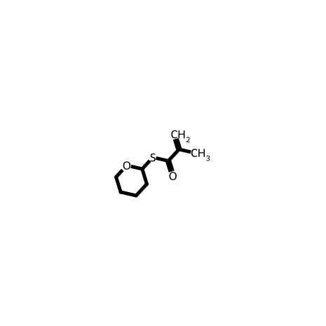 C=C(C)C(=O)SC1CCCCO1